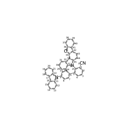 N#Cc1cccc(-c2ccc(-n3c4ccccc4c4ccccc43)cc2)c1-n1c2ccccc2c2c3oc4ccccc4c3ccc21